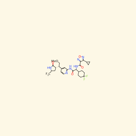 COCC(c1ccnc(NC(=O)[C@@H](NC(=O)c2nonc2C2CC2)C2CCC(F)(F)CC2)c1)[C@@H]1C[C@@H](C(F)(F)F)NC1=O